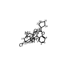 O=C(NC(c1ccccc1)[C@H]1[C@H]2C[C@@H]3C[C@](Cl)(C2)C[C@@]1(O)C3)C1CCCC1